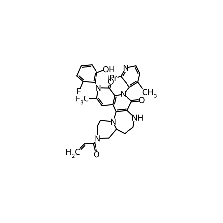 C=CC(=O)N1CCN2c3c(c(=O)n(-c4c(C)ccnc4C(C)C)c4c(=O)n(-c5c(O)cccc5F)c(C(F)(F)F)cc34)NCCC2C1